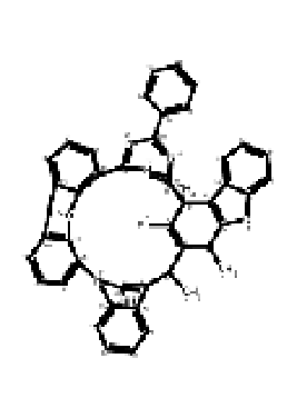 CCC1=C2C(C)c3oc4ccccc4c3C1(C)c1nc(-c3ccccc3)nc(n1)-c1cccc3c1oc1c(cccc13)-n1c(N)c(c3ccccc31)C2C